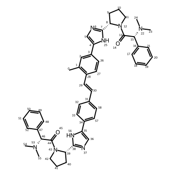 Cc1cc(-c2cnc([C@@H]3CCCN3C(=O)[C@@H](c3ccccc3)N(C)C)[nH]2)ccc1/C=C/c1ccc(-c2cnc([C@@H]3CCCN3C(=O)[C@@H](c3ccccc3)N(C)C)[nH]2)cc1